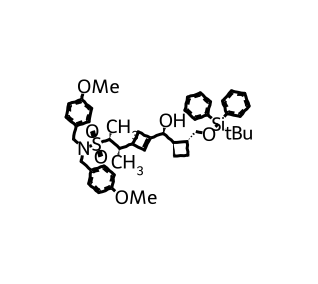 COc1ccc(CN(Cc2ccc(OC)cc2)S(=O)(=O)[C@H](C)[C@@H](C)C2C=C([C@@H](O)[C@@H]3CC[C@H]3CO[Si](c3ccccc3)(c3ccccc3)C(C)(C)C)C2)cc1